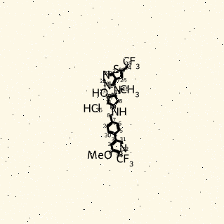 COc1cc(-c2ccc(CN[C@H]3C[C@@H](O)[C@@H](N(C)c4ncnc5sc(CC(F)(F)F)cc45)C3)cc2)cnc1C(F)(F)F.Cl